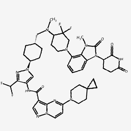 CN(C[C@H]1CC[C@H](n2cc(NC(=O)c3cnn4ccc(N5CCC6(CC5)CC6)nc34)c(C(F)F)n2)CC1)C1CCN(c2cccc3c2n(C)c(=O)n3C2CCC(=O)NC2=O)CC1(F)F